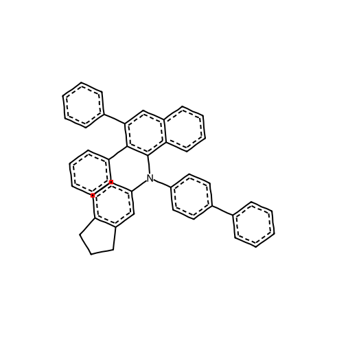 c1ccc(-c2ccc(N(c3ccc4c(c3)CCC4)c3c(-c4ccccc4)c(-c4ccccc4)cc4ccccc34)cc2)cc1